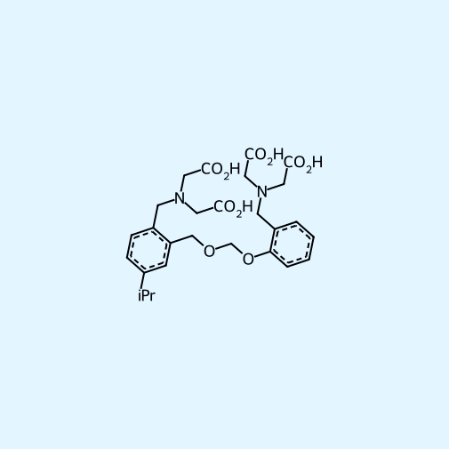 CC(C)c1ccc(CN(CC(=O)O)CC(=O)O)c(COCOc2ccccc2CN(CC(=O)O)CC(=O)O)c1